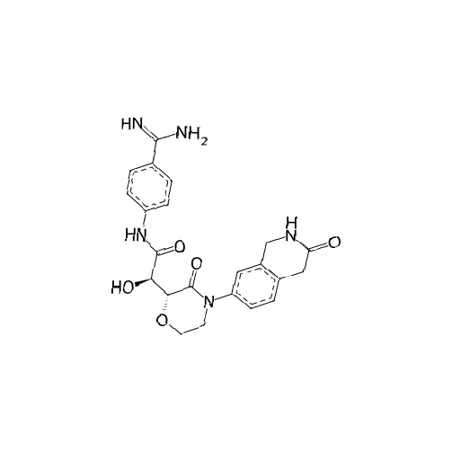 N=C(N)c1ccc(NC(=O)[C@H](O)[C@H]2OCCN(c3ccc4c(c3)CNC(=O)C4)C2=O)cc1